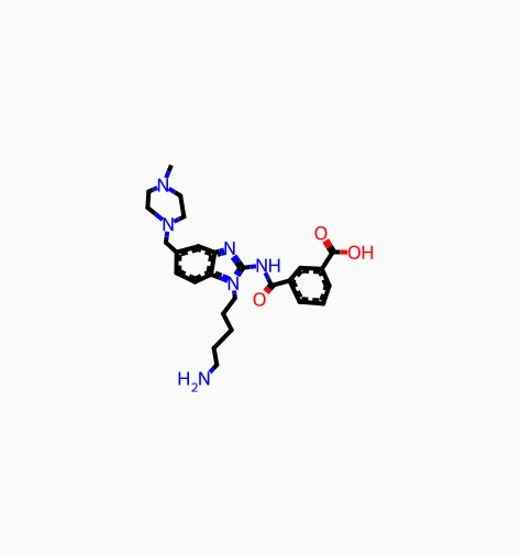 CN1CCN(Cc2ccc3c(c2)nc(NC(=O)c2cccc(C(=O)O)c2)n3CCCCCN)CC1